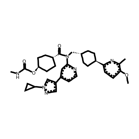 CNC(=O)O[C@H]1CC[C@H](C(=O)N(C[C@H]2CC[C@H](c3ccc(OC)c(C)n3)CC2)c2cc(-c3cnn(C4CC4)c3)ccn2)CC1